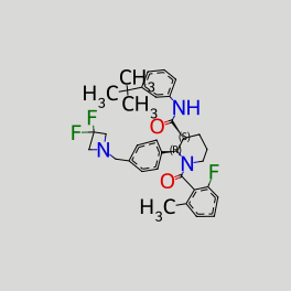 Cc1cccc(F)c1C(=O)N1CCC[C@H](C(=O)Nc2cccc(C(C)(C)C)c2)[C@@H]1c1ccc(CN2CC(F)(F)C2)cc1